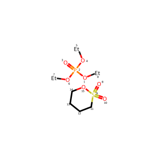 CCOP(=O)(OCC)OCC.O=S1(=O)CCCCO1